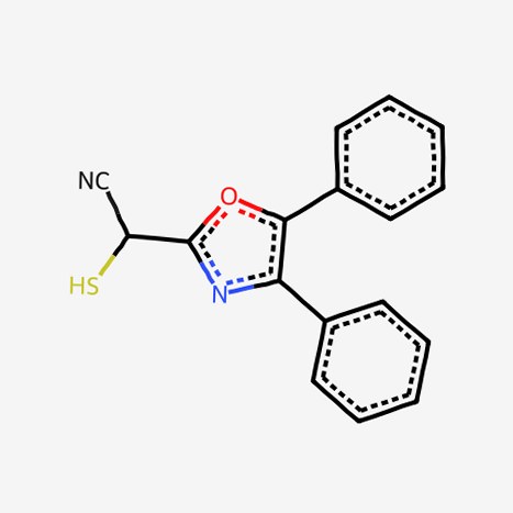 N#CC(S)c1nc(-c2ccccc2)c(-c2ccccc2)o1